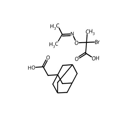 CC(C)=NOC(C)(Br)C(=O)O.O=C(O)CC12CC3CC(CC(C3)C1)C2